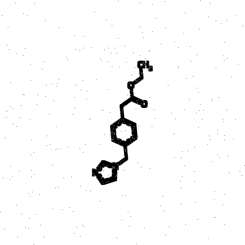 CCOC(=O)Cc1ccc(Cn2ccnc2)cc1